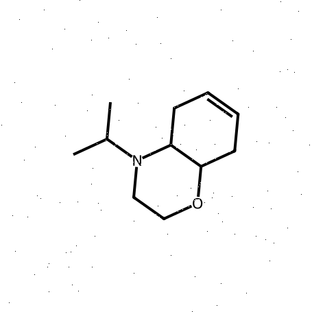 CC(C)N1CCOC2CC=CCC21